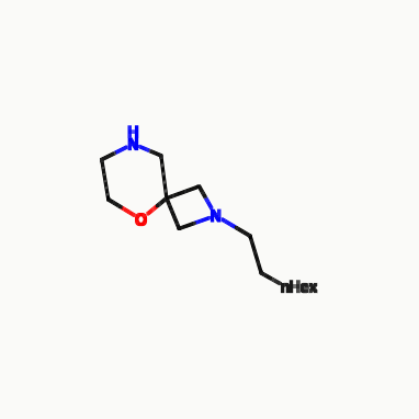 CCCCCCCCN1CC2(CNCCO2)C1